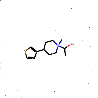 CC(O)[N+]1(C)CCC(c2ccsc2)CC1